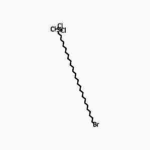 Cl[Si](Cl)(Cl)CCCCCCCCCCCCCCCCCCCCCCCCCCCCCBr